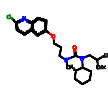 CCC(CN(C(=O)N(C)CCCOc1ccc2nc(Cl)ccc2c1)C1CCCCC1)OC(C)=O